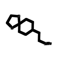 CNCCC1CCC2(CC1)OCCO2